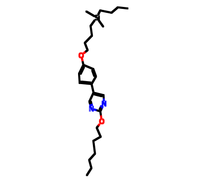 CCCCCCCOc1ncc(-c2ccc(OCCCC[Si](C)(C)CCCC)cc2)cn1